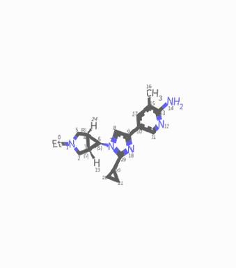 CCN1C[C@@H]2[C@H](C1)[C@H]2n1cc(-c2cnc(N)c(C)c2)nc1C1CC1